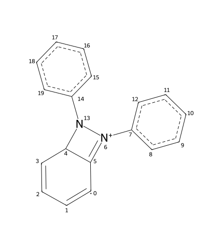 [C]1=CC=CC2C1=[N+](c1ccccc1)N2c1ccccc1